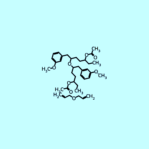 C=CCOCC=C.CCC(CCC(Cc1cccc(OC)c1)OC(CCC(CC)OC(C)=O)Cc1cccc(OC)c1)OC(C)=O